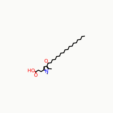 CCCCCCCCCCCCCCCCCC(=O)c1cc(CCC(=O)O)n(C)c1C